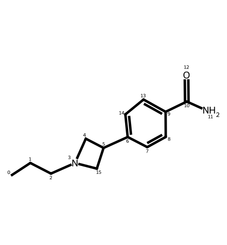 CCCN1CC(c2ccc(C(N)=O)cc2)C1